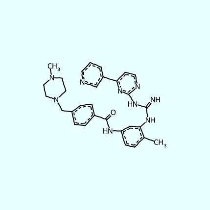 Cc1ccc(NC(=O)c2ccc(CN3CCN(C)CC3)cc2)cc1NC(=N)Nc1nccc(-c2cccnc2)n1